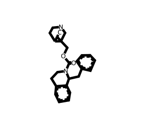 O=C(OCC1CN2CCC1CC2)N1CCc2ccccc2C1Cc1ccccc1